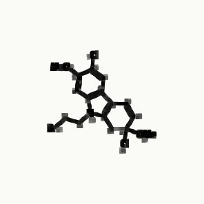 COc1cc2c(cc1Cl)c1c(n2CCBr)CC(Cl)(OC)C=C1